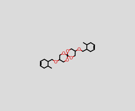 CC1CC=CCC1COC1COC2(OC1)OCC(OCC1CC=CCC1C)CO2